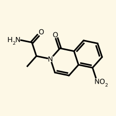 CC(C(N)=O)n1ccc2c([N+](=O)[O-])cccc2c1=O